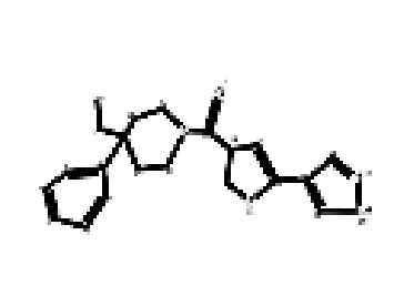 CCC1(c2ccccc2)CCN(C(=O)C2C=C(c3cn[nH]c3)SC2)CC1